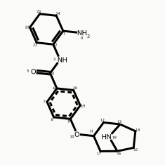 NC1=C(NC(=O)c2ccc(OC3CC4CCC(C3)N4)cc2)C=CCC1